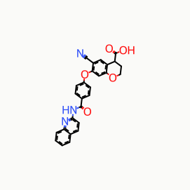 N#Cc1cc2c(cc1Oc1ccc(C(=O)Nc3ccc4ccccc4n3)cc1)OCCC2C(=O)O